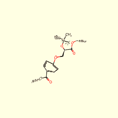 COC(=O)c1ccc(OC[C@@H](O[Si](C)(C)C(C)(C)C)C(=O)OC(C)(C)C)cc1